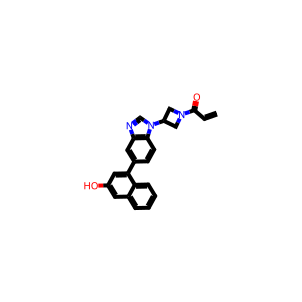 C=CC(=O)N1CC(n2cnc3cc(-c4cc(O)cc5ccccc45)ccc32)C1